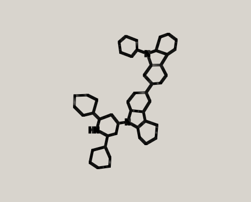 C1CCC(C2CC(N3C4CCCCC4C4CC(C5CCC6C7CCCCC7N(C7CCCCC7)C6C5)CCC43)CC(C3CCCCC3)N2)CC1